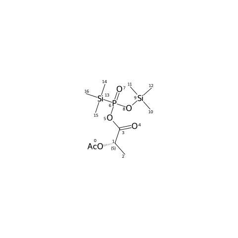 CC(=O)O[C@@H](C)C(=O)OP(=O)(O[Si](C)(C)C)[Si](C)(C)C